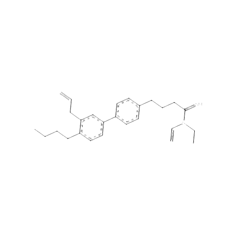 C=CCc1cc(-c2ccc(CCCC(=N)N(C=C)CC)cc2)ccc1CCCC